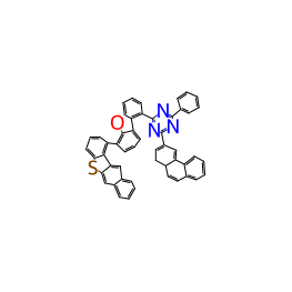 C1=CC2CC=C(c3nc(-c4ccccc4)nc(-c4cccc5oc6c(-c7cccc8sc9cc%10ccccc%10cc9c78)cccc6c45)n3)C=C2c2ccccc21